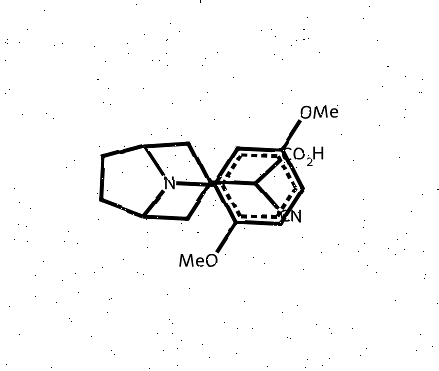 COc1ccc(OC)c(N2C3CCC2CC(C(C#N)C(=O)O)C3)c1